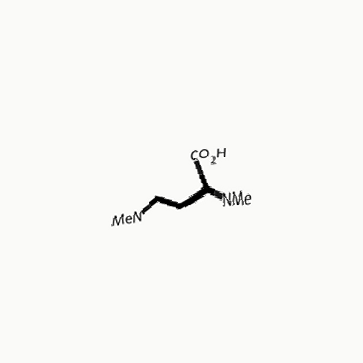 CNCCC(NC)C(=O)O